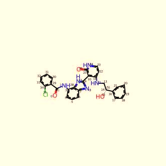 O=C(Nc1cccc2nc(-c3c(NC[C@@H](O)c4ccccc4)cc[nH]c3=O)[nH]c12)c1ccccc1Cl